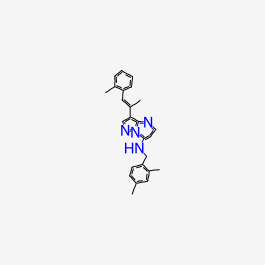 C/C(=C\c1ccccc1C)c1cnn2c(NCc3ccc(C)cc3C)ccnc12